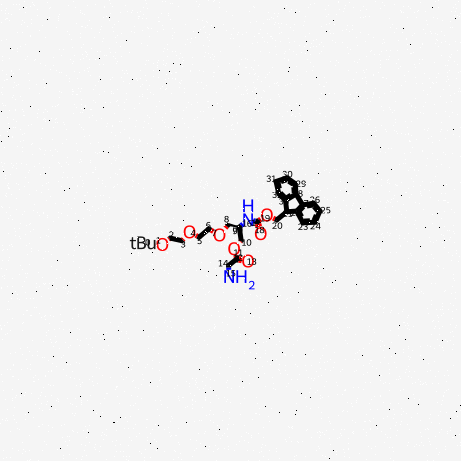 CC(C)(C)OCCOCCOC[C@H](COC(=O)CN)NC(=O)OCC1c2ccccc2-c2ccccc21